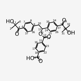 CC(C)(O)C(=O)c1ccc(CC(OC(=O)c2ccc(C(=O)O)cc2)c2ccc(C(=O)C(C)(C)O)cc2)cc1